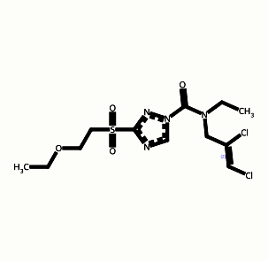 CCOCCS(=O)(=O)c1ncn(C(=O)N(CC)C/C(Cl)=C/Cl)n1